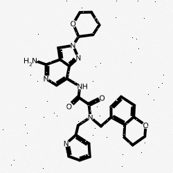 Nc1ncc(NC(=O)C(=O)N(Cc2ccccn2)Cc2cccc3c2CCCO3)c2nn(C3CCCCO3)cc12